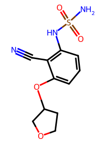 N#Cc1c(NS(N)(=O)=O)cccc1OC1CCOC1